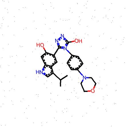 CC(C)c1c[nH]c2cc(O)c(-c3nnc(O)n3-c3ccc(N4CCOCC4)cc3)cc12